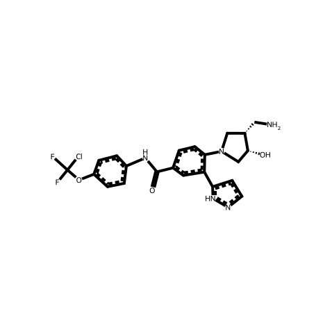 NC[C@H]1CN(c2ccc(C(=O)Nc3ccc(OC(F)(F)Cl)cc3)cc2-c2ccn[nH]2)C[C@H]1O